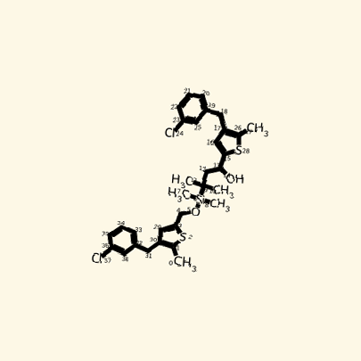 Cc1sc(CO[Si](C)(C)C(C)(C)CC(O)c2cc(Cc3cccc(Cl)c3)c(C)s2)cc1Cc1cccc(Cl)c1